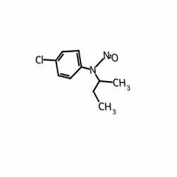 CCC(C)N(N=O)c1ccc(Cl)cc1